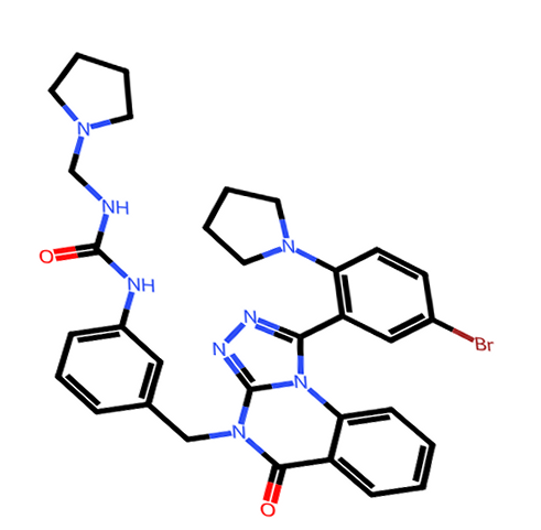 O=C(NCN1CCCC1)Nc1cccc(Cn2c(=O)c3ccccc3n3c(-c4cc(Br)ccc4N4CCCC4)nnc23)c1